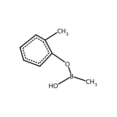 CB(O)Oc1ccccc1C